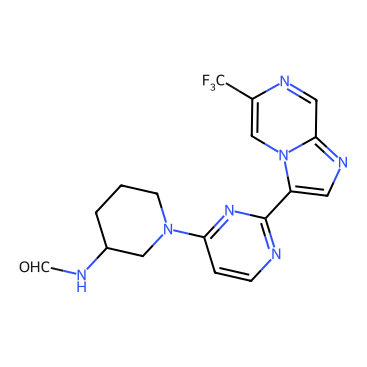 O=CNC1CCCN(c2ccnc(-c3cnc4cnc(C(F)(F)F)cn34)n2)C1